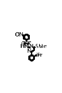 CSc1cc(-c2ccccc2C(C)C)nc(NS(=O)(=O)c2cccc(N=O)c2)n1